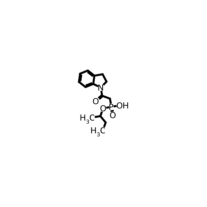 CCC(C)OP(=O)(O)CC(=O)N1CCc2ccccc21